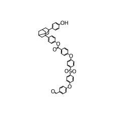 O=Cc1ccc(Oc2ccc(S(=O)(=O)c3ccc(Oc4ccc(C(=O)Oc5ccc(C67CC8CC(CC(c9ccc(O)cc9)(C8)C6)C7)cc5)cc4)cc3)cc2)cc1